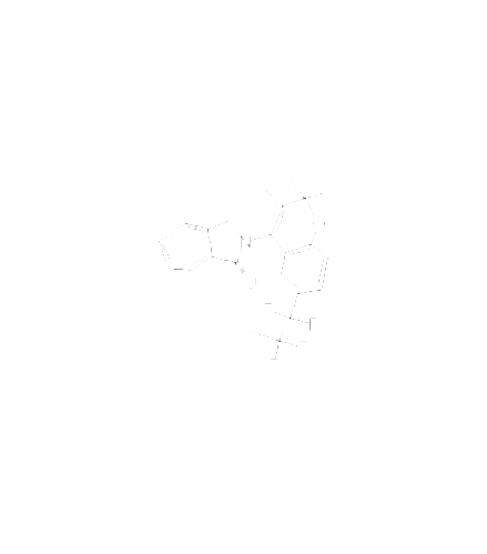 CC1=C(N2Cc3ccccc3C2=O)c2cc(C(F)(F)C(F)(F)F)ccc2OC1(C)C